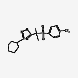 CC(C)(c1nc(C2CCCCC2)no1)S(=O)(=O)c1ccc(C(F)(F)F)cc1